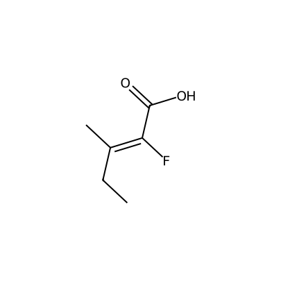 CCC(C)=C(F)C(=O)O